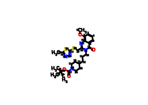 COc1cccc2c(=O)n(CCCC3CCN(C(=O)OC(C)(C)C)CC3)c(CSc3nnc(C)s3)nc12